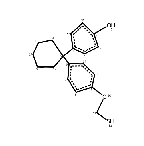 Oc1ccc(C2(c3ccc(OCS)cc3)CCCCC2)cc1